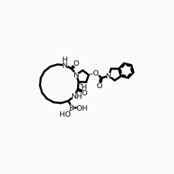 O=C1NC(B(O)O)CCCCCCCCCNC(=O)N2C[C@H](OC(=O)N3Cc4ccccc4C3)C[C@@H]12